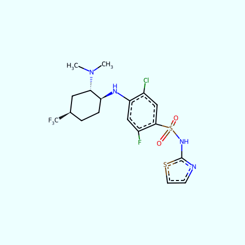 CN(C)[C@H]1C[C@H](C(F)(F)F)CC[C@@H]1Nc1cc(F)c(S(=O)(=O)Nc2nccs2)cc1Cl